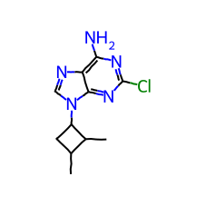 CC1CC(n2cnc3c(N)nc(Cl)nc32)C1C